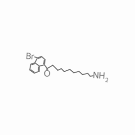 NCCCCCCCCCCC(=O)c1ccc(Br)c2ccccc12